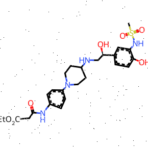 CCOC(=O)CC(=O)Nc1ccc(N2CCC(NC[C@@H](O)c3ccc(O)c(NS(C)(=O)=O)c3)CC2)cc1